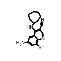 N#Cc1cnc2c(Br)cc(N)cc2c1NC1CCCCCC1